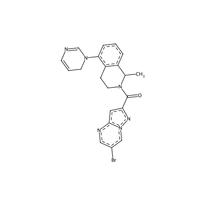 CC1c2cccc(N3C=NC=CC3)c2CCN1C(=O)c1cc2ncc(Br)cn2n1